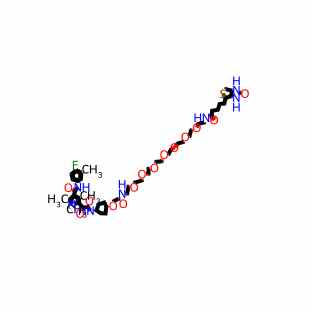 Cc1cc(NC(=O)c2c(C)c(C(=O)C(=O)N[C@H]3CC[C@@H](OCC(=O)NCCOCCOCCOCCOCCOCCOCCOCCNC(=O)CCCCC4SCC5NC(=O)NC54)CC3)n(C)c2C)ccc1F